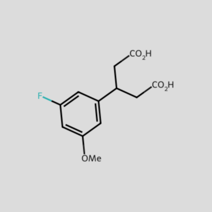 COc1cc(F)cc(C(CC(=O)O)CC(=O)O)c1